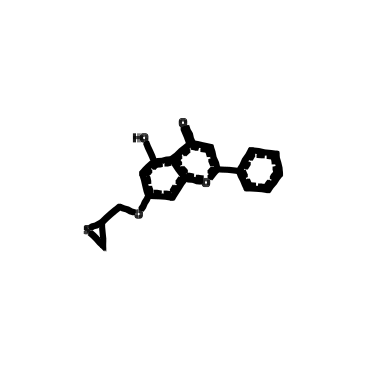 O=c1cc(-c2ccccc2)oc2cc(OCC3CS3)cc(O)c12